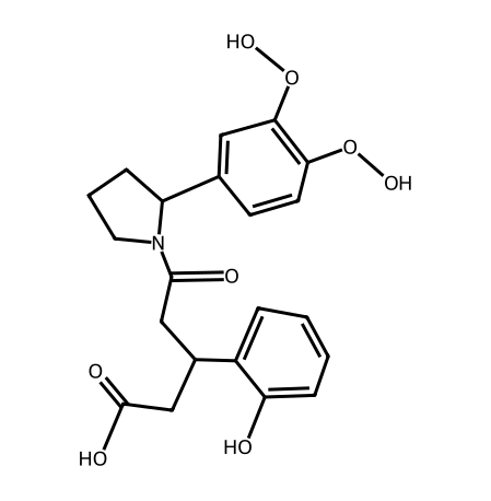 O=C(O)CC(CC(=O)N1CCCC1c1ccc(OO)c(OO)c1)c1ccccc1O